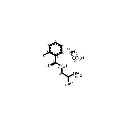 Cc1ccccc1C(=O)NCC(N)C(C)C.NC(=O)O